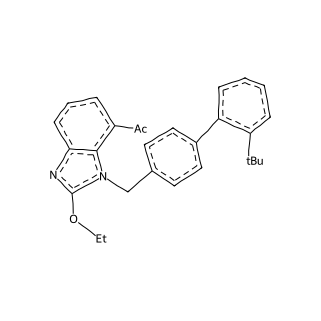 CCOc1nc2cccc(C(C)=O)c2n1Cc1ccc(-c2ccccc2C(C)(C)C)cc1